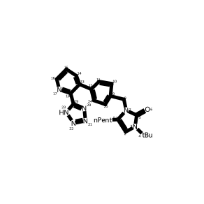 CCCCCc1cn(C(C)(C)C)c(=O)n1Cc1ccc(-c2cccnc2-c2nnn[nH]2)cc1